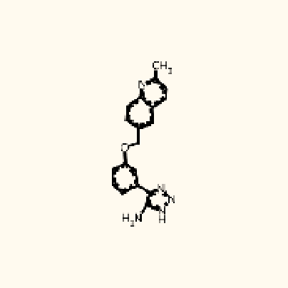 Cc1ccc2cc(COc3cccc(-c4nn[nH]c4N)c3)ccc2n1